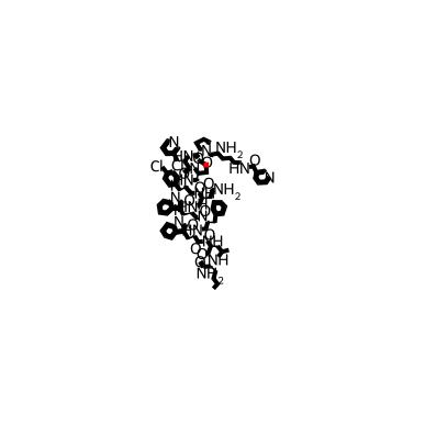 CCCC[C@H](NC(=O)[C@H](CC(C)C)NC(=O)[C@@H](Cc1c[nH]c2ccccc12)NC(=O)[C@H](Cc1ccccc1)NC(=O)[C@@H](Cc1c[nH]c2ccccc12)NC(=O)[C@H](CC(N)=O)NC(=O)[C@@H](Cc1ccc(Cl)c(Cl)c1)NC(=O)[C@@H]1CCCN1C(=O)[C@H](Cc1cccnc1)NC(=O)[C@@H]1CCCN1C(=O)[C@H](N)CCCCNC(=O)c1cccnc1)C(N)=O